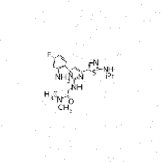 CC(C)Nc1ncc(-c2cc(-c3ccc(F)cc3N)nc(NCC(=O)N(C)C)n2)s1